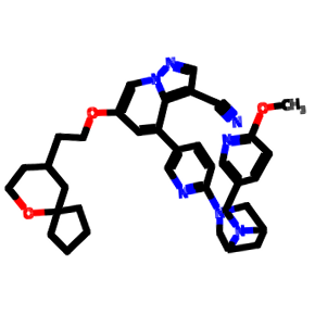 COc1ccc(CN2C3CC2CN(c2ccc(-c4cc(OCCC5CCOC6(CCCC6)C5)cn5ncc(C#N)c45)cn2)C3)cn1